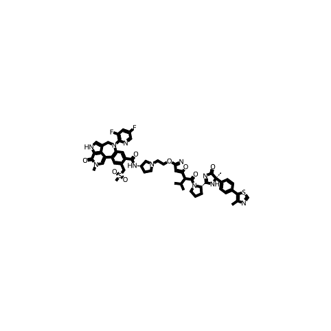 Cc1ncsc1-c1ccc([C@@]2(C)NC([C@@H]3CCCN3C(=O)C(c3cc(OCCN4CC[C@H](NC(=O)c5cc6c(cc5CS(C)(=O)=O)-c5cn(C)c(=O)c7[nH]cc(c57)CN6c5ncc(F)cc5F)C4)no3)C(C)C)=NC2=O)cc1